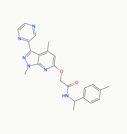 Cc1ccc(C(C)NC(=O)COc2cc(C)c3c(-c4cnccn4)nn(C)c3n2)cc1